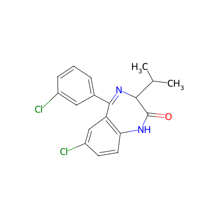 CC(C)C1N=C(c2cccc(Cl)c2)c2cc(Cl)ccc2NC1=O